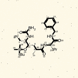 BC(=O)N[C@@H](CC(C)C)[C@H](C[C@@H](C)C(=O)N[C@H](C(=O)NCc1ccccc1)C(C)C)O[Si](C)(C)C(C)(C)C